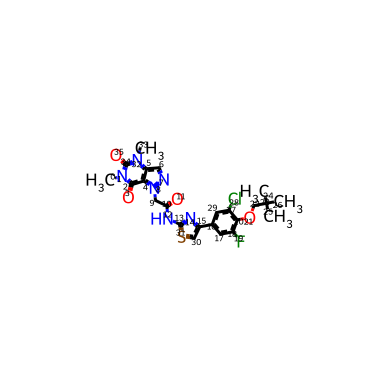 Cn1c(=O)c2c(cnn2CC(=O)Nc2nc(-c3cc(F)c(OCC(C)(C)C)c(Cl)c3)cs2)n(C)c1=O